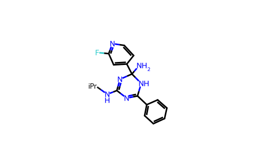 CC(C)NC1=NC(N)(c2ccnc(F)c2)NC(c2ccccc2)=N1